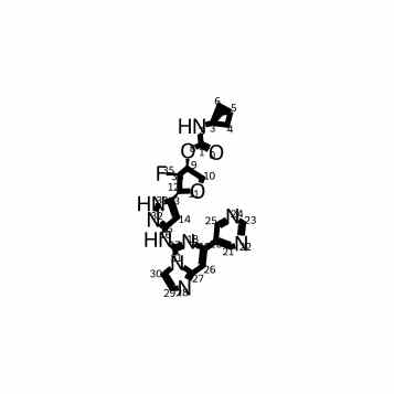 O=C(NC12CC(C1)C2)O[C@H]1CO[C@@H](c2cc(Nc3nc(-c4cncnc4)cc4nccn34)n[nH]2)[C@H]1F